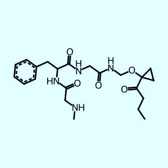 CCCC(=O)C1(OCNC(=O)CNC(=O)C(Cc2ccccc2)NC(=O)CNC)CC1